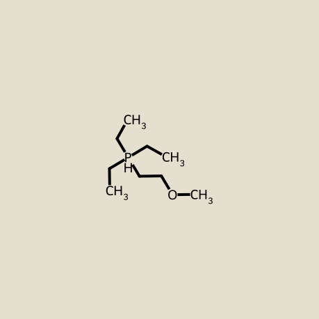 CC[PH](CC)(CC)CCOC